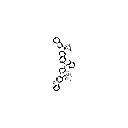 Cc1cccc(C)c1N(c1ccc2c(c1)C(C)(C)c1cc3c(cc1-2)oc1ccccc13)c1ccc2cc3c(cc2c1)C(C)(C)c1cc2ccccc2cc1-3